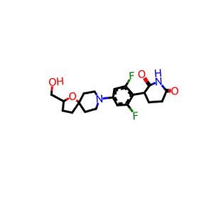 O=C1CCC(c2c(F)cc(N3CCC4(CCC(CO)O4)CC3)cc2F)C(=O)N1